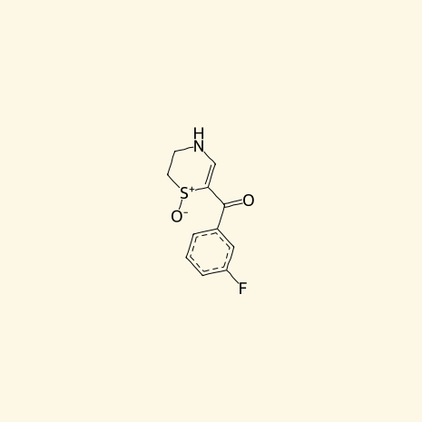 O=C(C1=CNCC[S+]1[O-])c1cccc(F)c1